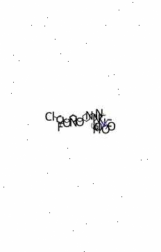 C=C/C(=N\c1c(C)nc(CN2CCC(Oc3cccc(Oc4ccc(Cl)cc4F)n3)CC2)n1C[C@@H]1CCO1)C(=O)O